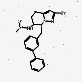 CC(C)c1cc2n(n1)C(Cc1cccc(-c3ccccc3)c1)C(N[S+](C)[O-])CC2